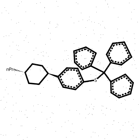 CCC[C@H]1CC[C@H](c2ccc(SC(c3ccccc3)(c3ccccc3)c3ccccc3)cc2)CC1